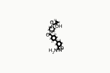 Nc1noc2ccc(-c3ccc(C(=O)N4CCN(C(=O)C5(O)CC5)CC4)cc3)cc12